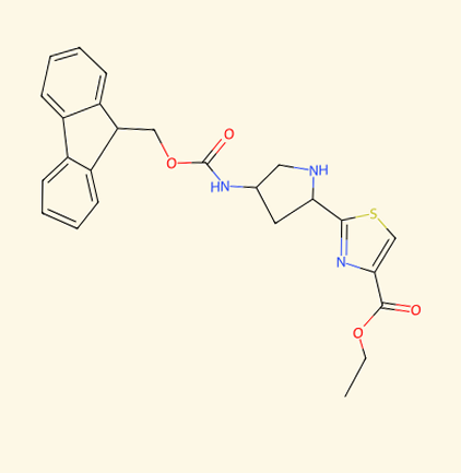 CCOC(=O)c1csc(C2CC(NC(=O)OCC3c4ccccc4-c4ccccc43)CN2)n1